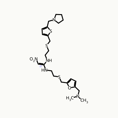 CN(C)Cc1ccc(CSCCN/C(=C/[N+](=O)[O-])NCCSCc2ccc(CN3CCCC3)s2)o1